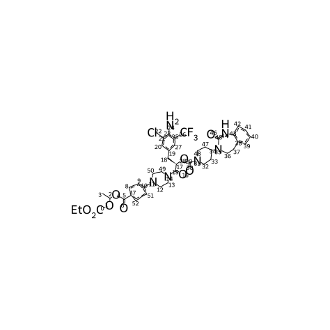 CCOC(=O)OC(C)OC(=O)c1ccc(N2CCN(C(=O)[C@@H](Cc3cc(Cl)c(N)c(C(F)(F)F)c3)OC(=O)N3CCC(N4CCc5ccccc5NC4=O)CC3)CC2)cc1